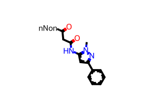 CCCCCCCCCC(=O)CC(=O)Nc1cc(-c2ccccc2)nn1C